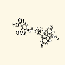 COc1cc(C(C)O)ccc1OCCCN1CCC(C(C(N)=O)(c2ccc(F)cc2)c2ccc(F)cc2)CC1